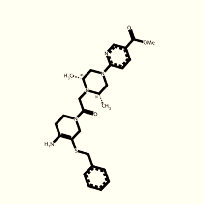 COC(=O)c1ccc(N2C[C@@H](C)N(CC(=O)N3CCC(N)=C(SCc4ccccc4)C3)[C@@H](C)C2)nc1